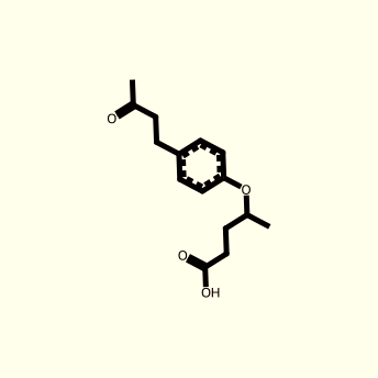 CC(=O)CCc1ccc(OC(C)CCC(=O)O)cc1